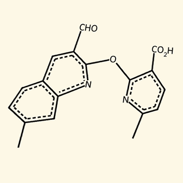 Cc1ccc2cc(C=O)c(Oc3nc(C)ccc3C(=O)O)nc2c1